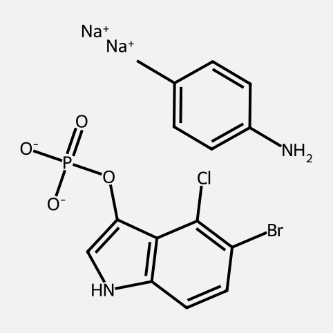 Cc1ccc(N)cc1.O=P([O-])([O-])Oc1c[nH]c2ccc(Br)c(Cl)c12.[Na+].[Na+]